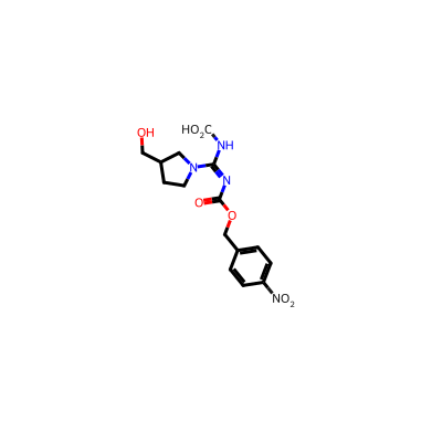 O=C(O)NC(=NC(=O)OCc1ccc([N+](=O)[O-])cc1)N1CCC(CO)C1